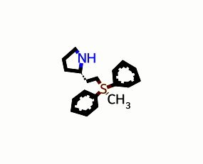 CS(CC[C@@H]1CCCN1)(c1ccccc1)c1ccccc1